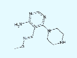 CON=Cc1c(N)ncnc1N1CCNCC1